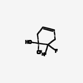 OC1(C(F)(F)F)CC=CCC1(F)F